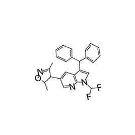 CC1=NOC(C)C1c1cnc2c(c1)c(C(c1ccccc1)c1ccccc1)cn2C(F)F